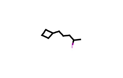 CC(I)CCCC1CCC1